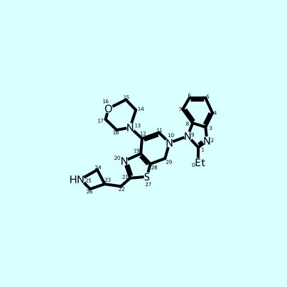 CCc1nc2ccccc2n1N1C=C(N2CCOCC2)c2nc(CC3CNC3)sc2C1